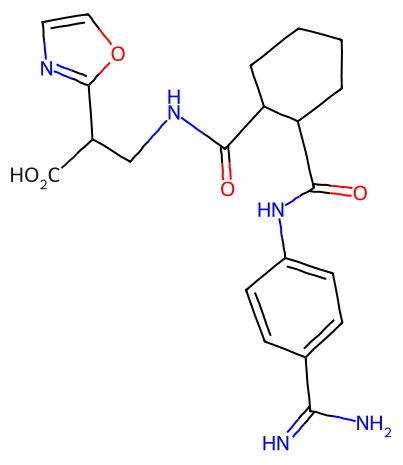 N=C(N)c1ccc(NC(=O)C2CCCCC2C(=O)NCC(C(=O)O)c2ncco2)cc1